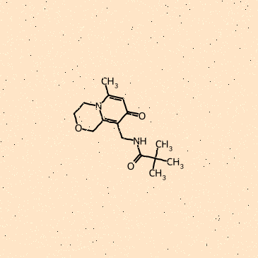 Cc1cc(=O)c(CNC(=O)C(C)(C)C)c2n1CCOC2